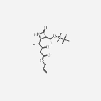 C=CCOC(=O)CC(=O)[C@H](C)[C@H]1NC(=O)[C@@H]1[C@@H](C)O[Si](C)(C)C(C)(C)C